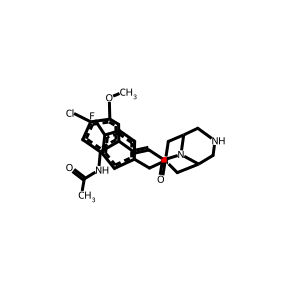 COc1cc(C=CC(=O)N2C3CNCC2CN(Cc2ccc(F)cc2)C3)c(NC(C)=O)cc1Cl